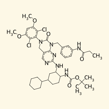 CCC(=O)Nc1cccc(CN2C(=O)N(c3c(Cl)c(OC)cc(OC)c3Cl)Cc3cnc(NC4CC(C5CCCCC5)CCC4NC(=O)OC(C)(C)C)nc32)c1